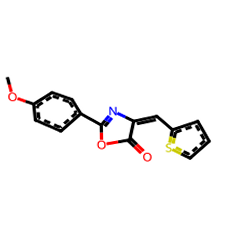 COc1ccc(C2=NC(=Cc3cccs3)C(=O)O2)cc1